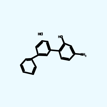 Cl.Nc1ccc(-c2cccc(-c3ccccc3)c2)c(O)c1